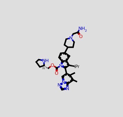 Cc1c(-c2c(C(C)C)c3cc(C4CCN(CC(N)=O)CC4)ccc3n2C(=O)OC[C@@H]2CCCN2)cn2ncnc2c1C